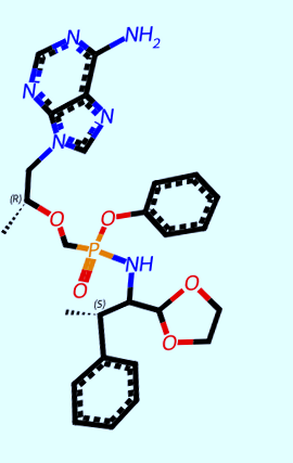 C[C@H](Cn1cnc2c(N)ncnc21)OCP(=O)(NC(C1OCCO1)[C@@H](C)c1ccccc1)Oc1ccccc1